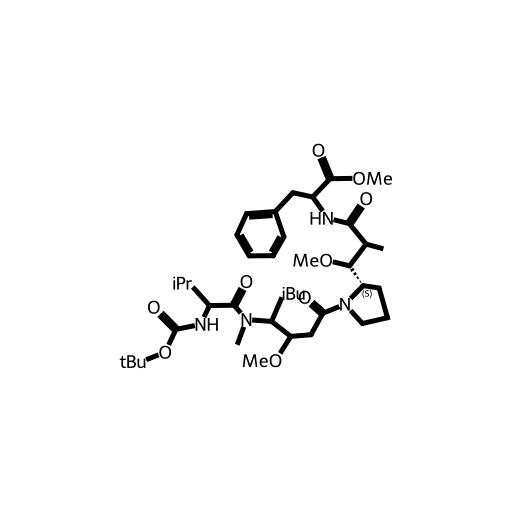 CCC(C)C(C(CC(=O)N1CCC[C@H]1C(OC)C(C)C(=O)NC(Cc1ccccc1)C(=O)OC)OC)N(C)C(=O)C(NC(=O)OC(C)(C)C)C(C)C